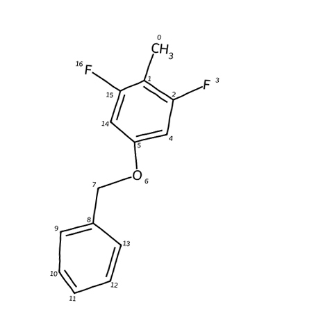 Cc1c(F)cc(OCc2ccccc2)cc1F